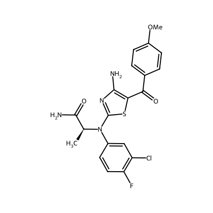 COc1ccc(C(=O)c2sc(N(c3ccc(F)c(Cl)c3)[C@@H](C)C(N)=O)nc2N)cc1